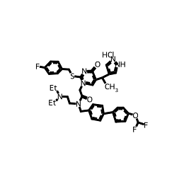 CCN(CC)CCN(Cc1ccc(-c2ccc(OC(F)F)cc2)cc1)C(=O)Cn1cc(C(C)c2cn[nH]c2)c(=O)nc1SCc1ccc(F)cc1.Cl